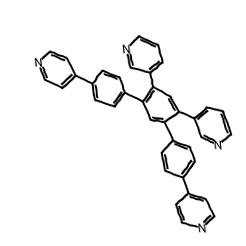 c1cncc(-c2cc(-c3cccnc3)c(-c3ccc(-c4ccncc4)cc3)cc2-c2ccc(-c3ccncc3)cc2)c1